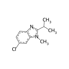 CC(C)c1nc2ccc(Cl)cc2n1C